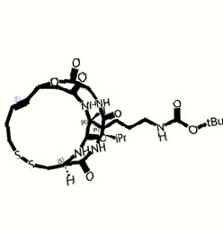 CC(C)[C@H]1NC(=O)[C@H]2CSSCC/C=C/C(CC(=O)N[C@H](CCCCNC(=O)OC(C)(C)C)C(=O)N2)OC(=O)CNC1=O